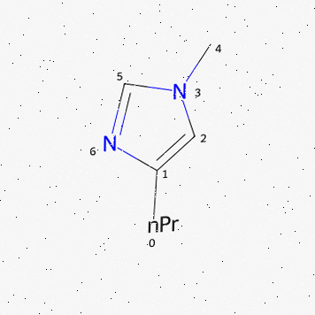 CCCc1cn(C)cn1